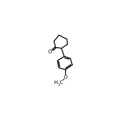 COc1ccc(C2CCCCC2=O)cc1